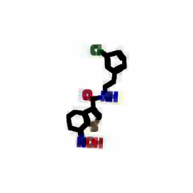 O=C(NCCc1cccc(Cl)c1)c1csc2c1CCC/C2=N/O